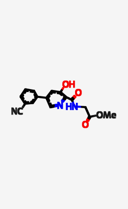 COC(=O)CNC(=O)c1ncc(-c2cccc(C#N)c2)cc1O